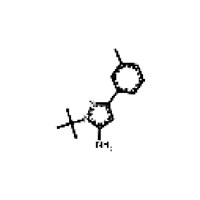 Cc1cccc(-c2cc(N)n(C(C)(C)C)n2)c1